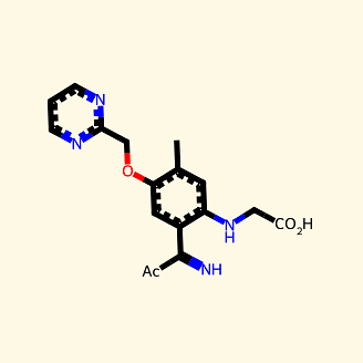 CC(=O)C(=N)c1cc(OCc2ncccn2)c(C)cc1NCC(=O)O